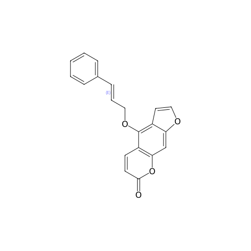 O=c1ccc2c(OC/C=C/c3ccccc3)c3ccoc3cc2o1